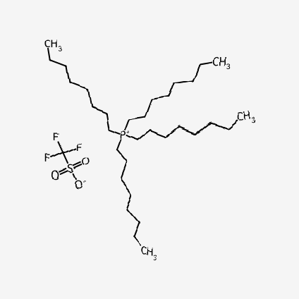 CCCCCCCC[P+](CCCCCCCC)(CCCCCCCC)CCCCCCCC.O=S(=O)([O-])C(F)(F)F